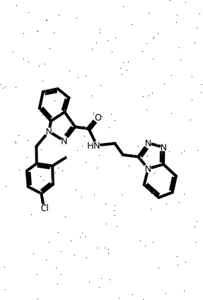 Cc1cc(Cl)ccc1Cn1nc(C(=O)NCCc2nnc3ccccn23)c2ccccc21